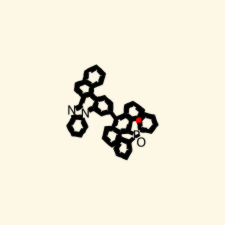 O=P(c1ccccc1)(c1ccccc1)c1c2ccccc2c(-c2ccc3c4c5ccccc5ccc4c4nc5ccccc5n4c3c2)c2ccccc12